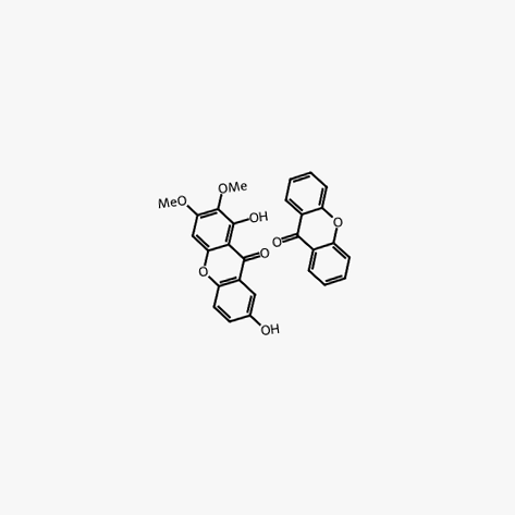 COc1cc2oc3ccc(O)cc3c(=O)c2c(O)c1OC.O=c1c2ccccc2oc2ccccc12